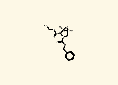 CCOC(=O)[C@@H]1[C@@H]2O[C@@H]2CN1C(=O)OCc1ccccc1